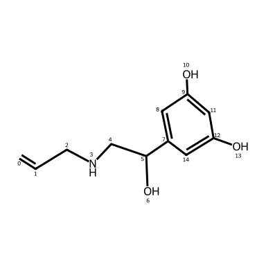 C=CCNCC(O)c1cc(O)cc(O)c1